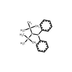 C[Si](C)(C)P(P(c1ccccc1)c1ccccc1)[Si](C)(C)C